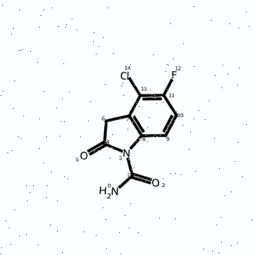 NC(=O)N1C(=O)Cc2c1ccc(F)c2Cl